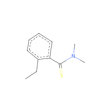 CCc1ccccc1C(=S)N(C)C